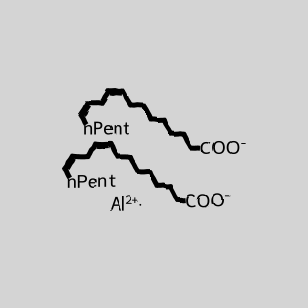 CCCCC/C=C\C/C=C\CCCCCCCC(=O)[O-].CCCCC/C=C\C/C=C\CCCCCCCC(=O)[O-].[Al+2]